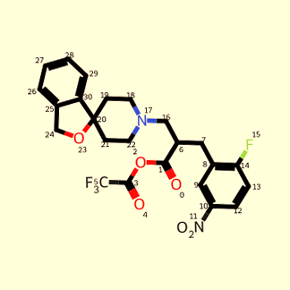 O=C(OC(=O)C(F)(F)F)C(Cc1cc([N+](=O)[O-])ccc1F)CN1CCC2(CC1)OCc1ccccc12